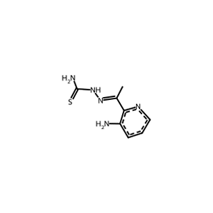 CC(=NNC(N)=S)c1ncccc1N